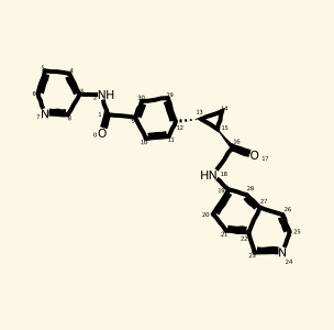 O=C(Nc1cccnc1)c1ccc([C@@H]2C[C@H]2C(=O)Nc2ccc3cnccc3c2)cc1